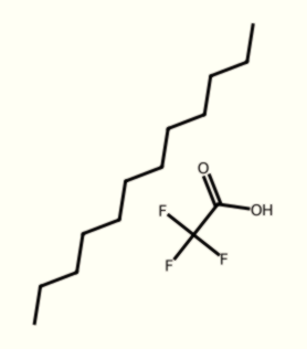 CCCCCCCCCCCC.O=C(O)C(F)(F)F